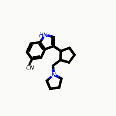 N#Cc1ccc2[nH]cc(C3CCCC3CN3CCCC3)c2c1